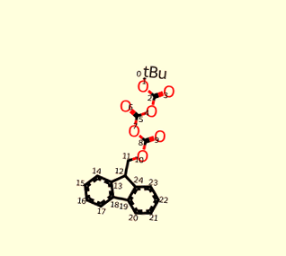 CC(C)(C)OC(=O)OC(=O)OC(=O)OCC1c2ccccc2-c2ccccc21